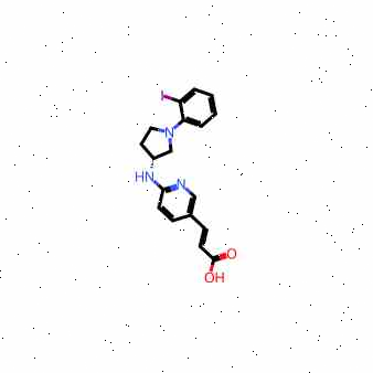 O=C(O)C=Cc1ccc(N[C@@H]2CCN(c3ccccc3I)C2)nc1